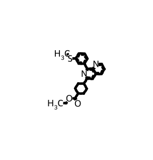 CCOC(=O)C1CCC(c2cc3cccnc3c(-c3cccc(SC)c3)n2)CC1